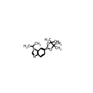 CC(C)n1cnc2ccc(B3OC(C)(C)C(C)(C)O3)cc21